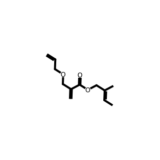 C=CCOCC(=C)C(=O)OCC(C)=CC